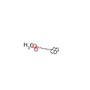 CCOC(=O)CCCCCCCCCc1ccc2ccc3cccc4ccc1c2c34